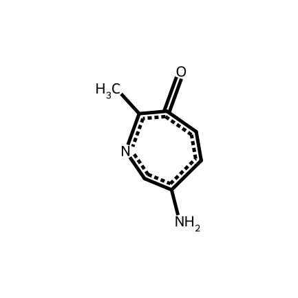 Cc1ncc(N)ccc1=O